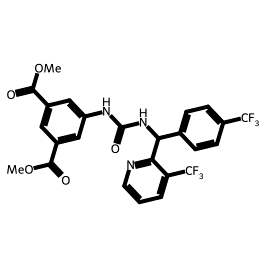 COC(=O)c1cc(NC(=O)NC(c2ccc(C(F)(F)F)cc2)c2ncccc2C(F)(F)F)cc(C(=O)OC)c1